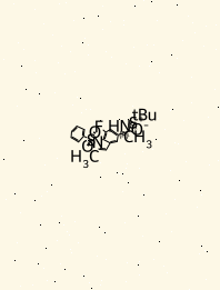 Cc1cc2cc([C@@H](C)N[S@@+]([O-])C(C)(C)C)cc(F)c2n1S(=O)(=O)c1ccccc1